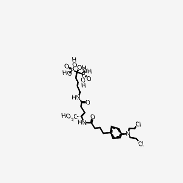 O=C(CC[C@H](NC(=O)CCCc1ccc(N(CCCl)CCCl)cc1)C(=O)O)NCCCCC(O)(P(=O)(O)O)P(=O)(O)O